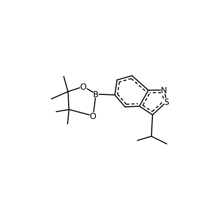 CC(C)c1snc2ccc(B3OC(C)(C)C(C)(C)O3)cc12